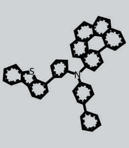 c1ccc(-c2ccc(N(c3ccc(-c4cccc5ccc6ccc7ccccc7c6c45)cc3)c3cccc(-c4cccc5c4sc4ccccc45)c3)cc2)cc1